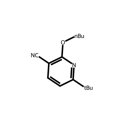 CCCCOc1nc(C(C)(C)C)ccc1C#N